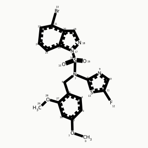 COc1ccc(CN(c2ncc(F)s2)S(=O)(=O)n2ncc3c(Br)cccc32)c(OC)c1